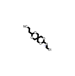 CC/C=N/C1OCC2(COC(CCC#N)OC2)CO1